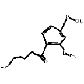 CCCCC(=O)c1ccc(OC)cc1OC